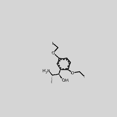 C[C@H](N)[C@H](O)c1cc(OCI)ccc1OCI